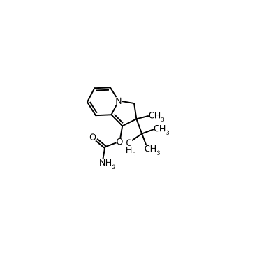 CC(C)(C)C1(C)CN2C=CC=CC2=C1OC(N)=O